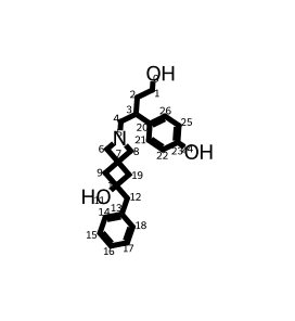 OCCC(CN1CC2(C1)CC(O)(Cc1ccccc1)C2)c1ccc(O)cc1